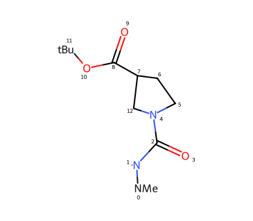 CN[N]C(=O)N1CCC(C(=O)OC(C)(C)C)C1